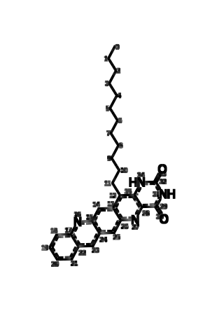 CCCCCCCCCCCCc1c2cc3nc4ccccc4cc3cc2nc2c(=O)[nH]c(=O)[nH]c12